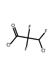 O=C(Cl)C(F)(F)C(F)Cl